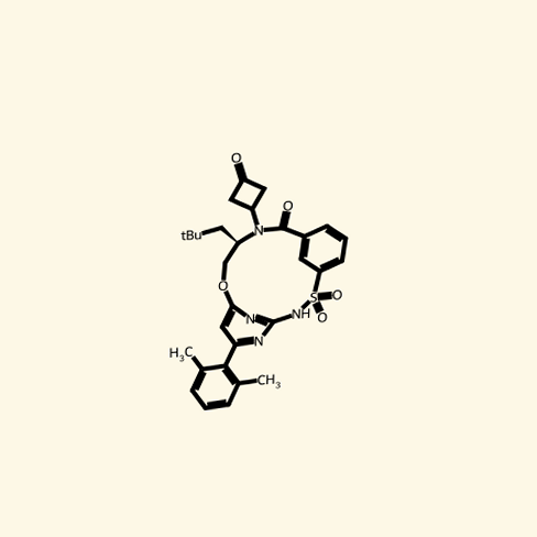 Cc1cccc(C)c1-c1cc2nc(n1)NS(=O)(=O)c1cccc(c1)C(=O)N(C1CC(=O)C1)[C@H](CC(C)(C)C)CO2